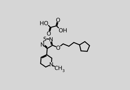 CN1CCC=C(c2nsnc2OCCCC2CCCC2)C1.O=C(O)C(=O)O